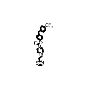 O=C(Oc1ccc(Cc2ccc(C(F)(F)F)cc2)cc1)N1CCN(CCc2nccs2)CC1